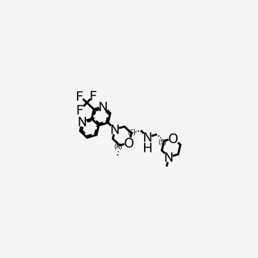 C[C@@H]1CN(c2cnc(C(F)(F)F)c3ncccc23)C[C@H](CNC[C@H]2CN(C)CCO2)O1